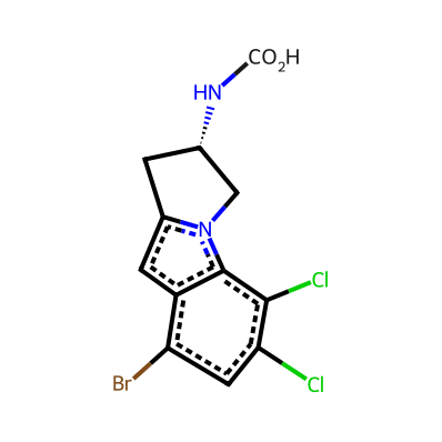 O=C(O)N[C@H]1Cc2cc3c(Br)cc(Cl)c(Cl)c3n2C1